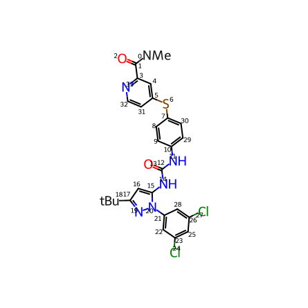 CNC(=O)c1cc(Sc2ccc(NC(=O)Nc3cc(C(C)(C)C)nn3-c3cc(Cl)cc(Cl)c3)cc2)ccn1